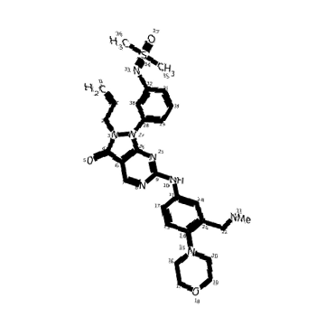 C=CCn1c(=O)c2cnc(Nc3ccc(N4CCOCC4)c(CNC)c3)nc2n1-c1cccc(N=S(C)(C)=O)c1